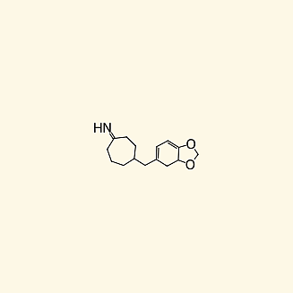 N=C1CCCC(CC2=CC=C3OCOC3C2)CC1